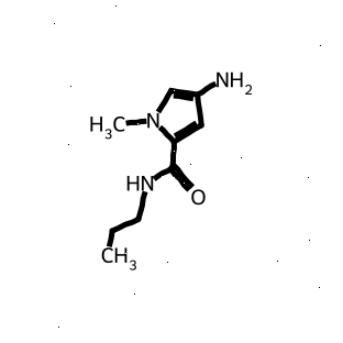 CCCNC(=O)c1cc(N)cn1C